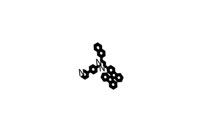 c1cncc(-c2ccc(-c3nc(-c4ccc5c(c4)C4(c6ccccc6-c6ccccc64)c4ccccc4-5)cc(-c4ccc5ccccc5c4)n3)cc2)c1